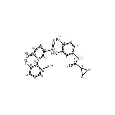 O=C(Nc1cc(NC(=O)C2CC2)ccc1Br)c1ccc(=O)n(-c2c(F)cccc2F)c1